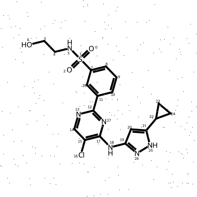 O=S(=O)(NCCO)c1cccc(-c2ncc(Cl)c(Nc3cc(C4CC4)[nH]n3)n2)c1